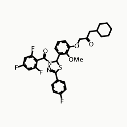 COc1c(OCC(=O)CC2CCCCC2)cccc1C1SC(c2ccc(F)cc2)=NN1C(=O)c1c(F)cc(F)cc1F